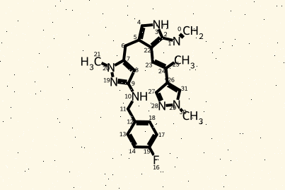 C=Nc1[nH]cc(Cc2cc(NCc3ccc(F)cc3)nn2C)c1/C=C(\C)c1cnn(C)c1